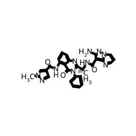 C[C@@H](NC(=O)c1c(N)nn2cccnc12)c1nc2cccc(NC(=O)c3cnn(C)c3)c2c(=O)n1-c1ccccc1